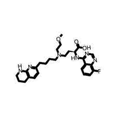 COCCN(CCCCc1ccc2c(n1)NCCC2)CC[C@H](Nc1ncnc2c(F)cccc12)C(=O)O